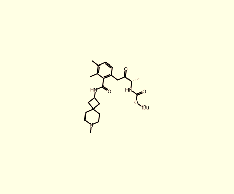 Cc1ccc(CC(=O)[C@H](C)NC(=O)OC(C)(C)C)c(C(=O)NC2CC3(CCN(C)CC3)C2)c1C